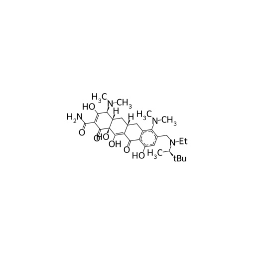 CCN(Cc1cc(O)c2c(c1N(C)C)C[C@H]1C[C@H]3[C@H](N(C)C)C(O)=C(C(N)=O)C(=O)[C@@]3(O)C(O)=C1C2=O)[C@H](C)C(C)(C)C